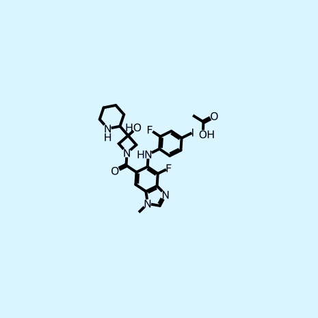 CC(=O)O.Cn1cnc2c(F)c(Nc3ccc(I)cc3F)c(C(=O)N3CC(O)(C4CCCCN4)C3)cc21